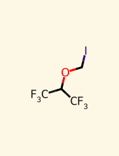 FC(F)(F)C(OCI)C(F)(F)F